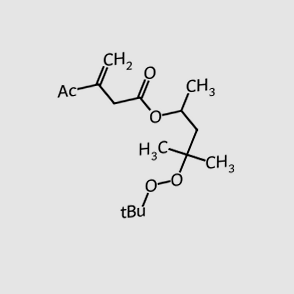 C=C(CC(=O)OC(C)CC(C)(C)OOC(C)(C)C)C(C)=O